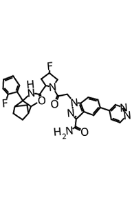 CC1C2CCC(C2)C1(NC(=O)C1CC(F)CN1C(=O)Cn1nc(C(N)=O)c2cc(-c3ccnnc3)ccc21)c1ccccc1F